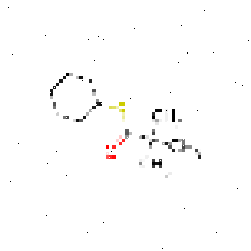 CC(C)(C)C(=O)SC1CCCCC1